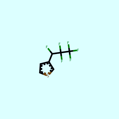 FC(c1ccsc1)C(F)(F)C(F)(F)F